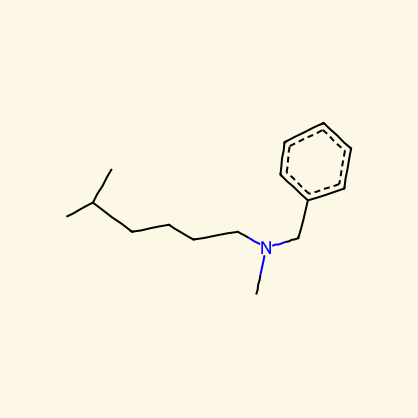 CC(C)CCCCN(C)Cc1ccccc1